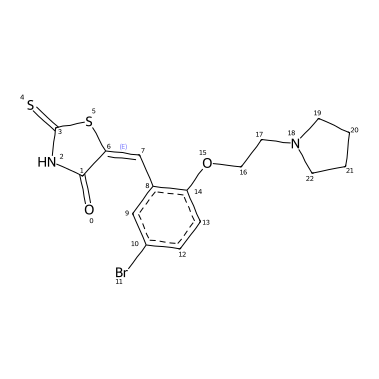 O=C1NC(=S)S/C1=C/c1cc(Br)ccc1OCCN1CCCC1